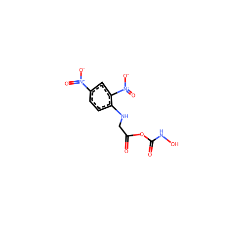 O=C(CNc1ccc([N+](=O)[O-])cc1[N+](=O)[O-])OC(=O)NO